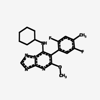 COc1nc2ncnn2c(NC2CCCCC2)c1-c1cc(F)c(C)cc1F